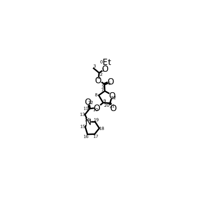 CCOC(C)OC(=O)C1CC(OC(=O)CN2CCCCC2)C(=O)O1